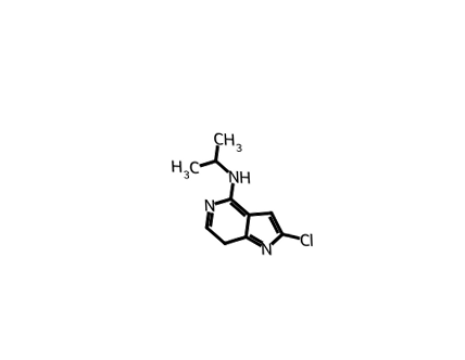 CC(C)NC1=C2C=C(Cl)N=C2CC=N1